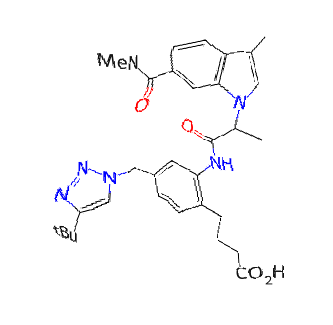 CNC(=O)c1ccc2c(C)cn(C(C)C(=O)Nc3cc(Cn4cc(C(C)(C)C)nn4)ccc3CCCC(=O)O)c2c1